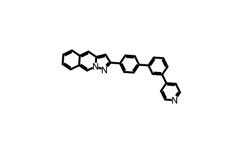 c1cc(-c2ccncc2)cc(-c2ccc(-c3cc4cc5ccccc5cn4n3)cc2)c1